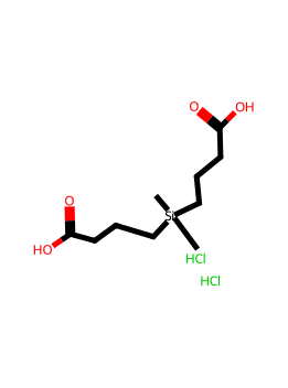 C[Si](C)(CCCC(=O)O)CCCC(=O)O.Cl.Cl